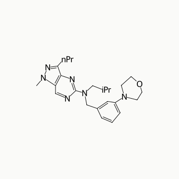 CCCc1nn(C)c2cnc(N(Cc3cccc(N4CCOCC4)c3)CC(C)C)nc12